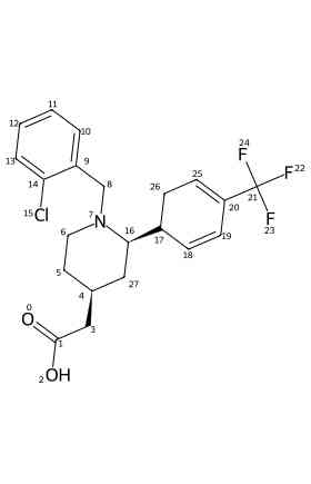 O=C(O)C[C@H]1CCN(Cc2ccccc2Cl)[C@@H](C2C=CC(C(F)(F)F)=CC2)C1